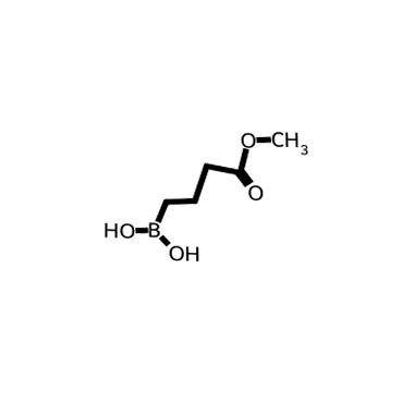 COC(=O)CCCB(O)O